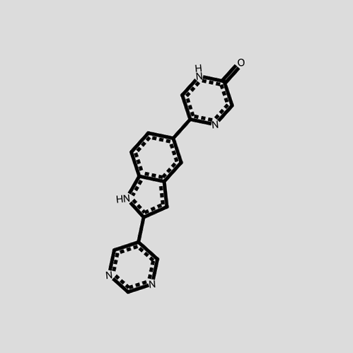 O=c1cnc(-c2ccc3[nH]c(-c4cncnc4)cc3c2)c[nH]1